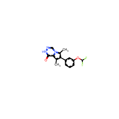 Cc1c(-c2cccc(OC(F)F)c2)c(C)n2cn[nH]c(=O)c12